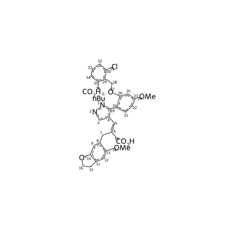 CCCCn1ncc(/C=C(\Cc2cc3c(cc2OC)CCO3)C(=O)O)c1-c1ccc(OC)cc1OCc1c(Cl)cccc1C(=O)O